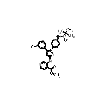 COC(=O)c1ccncc1Nc1cc(-c2cccc(Cl)c2)n(C2CCC(N[S+]([O-])C(C)(C)C)CC2)n1